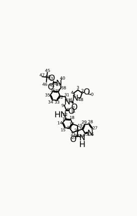 COC1CCN(C(=O)N(CC(=O)Nc2ccc3c(c2)CC2(C3)C(=O)Nc3ncccc32)Cc2ccccc2CN(C)C(=O)OC(C)(C)C)C1